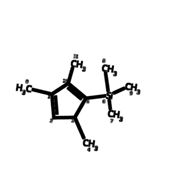 CC1=CC(C)C([Si](C)(C)C)=C1C